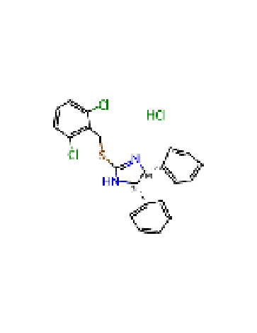 Cl.Clc1cccc(Cl)c1CSC1=N[C@H](c2ccccc2)[C@H](c2ccccc2)N1